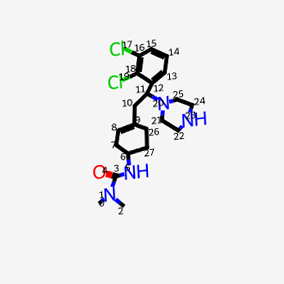 CN(C)C(=O)NC1CC=C(CC(c2cccc(Cl)c2Cl)N2CCNCC2)CC1